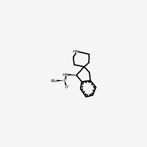 CC(C)(C)[S@+]([O-])N[C@@H]1c2ccccc2CC12CCNCC2